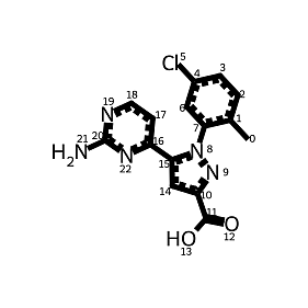 Cc1ccc(Cl)cc1-n1nc(C(=O)O)cc1-c1ccnc(N)n1